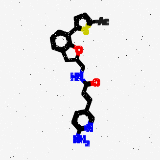 CC(=O)c1ccc(-c2cccc3c2OC(CNC(=O)C=Cc2ccc(N)nc2)C3)s1